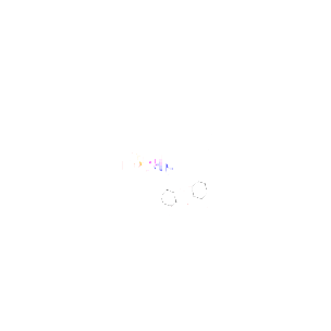 CCCCCCCCCc1ccc2c(c1Oc1c(CCCCCCCCC)ccc3c1CCO3)CCO2.N.N.O=S(=O)(O)O